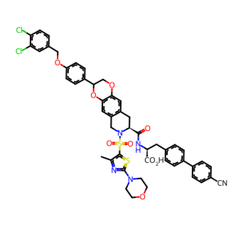 Cc1nc(N2CCOCC2)sc1S(=O)(=O)N1Cc2cc3c(cc2C[C@H]1C(=O)N[C@@H](Cc1ccc(-c2ccc(C#N)cc2)cc1)C(=O)O)OCC(c1ccc(OCc2ccc(Cl)c(Cl)c2)cc1)O3